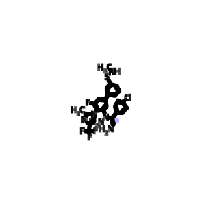 CNSc1cccc(-c2cc(F)c(-n3cc(C(F)(F)F)nc3C)c(N(N)/C(=C\N)c3ccc(Cl)cc3)c2)c1